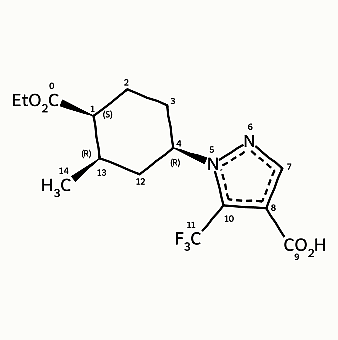 CCOC(=O)[C@H]1CC[C@@H](n2ncc(C(=O)O)c2C(F)(F)F)C[C@H]1C